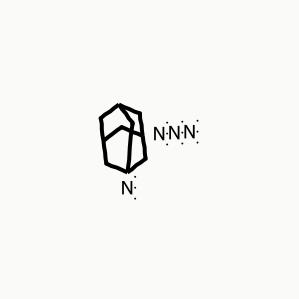 C1C2CC3CC1CC(C2)C3.[N].[N].[N].[N]